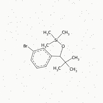 CC(C)(C)C(O[Si](C)(C)C)c1cccc(Br)c1